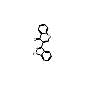 O=c1c(-c2n[nH]c3ccccc23)coc2ccccc12